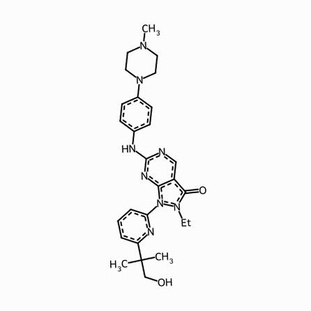 CCn1c(=O)c2cnc(Nc3ccc(N4CCN(C)CC4)cc3)nc2n1-c1cccc(C(C)(C)CO)n1